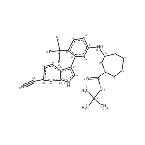 CC(C)(C)OC(=O)N1CCCCC(Nc2ncc(C(F)(F)F)c(-c3c[nH]c4cc(C#N)ccc34)n2)C1